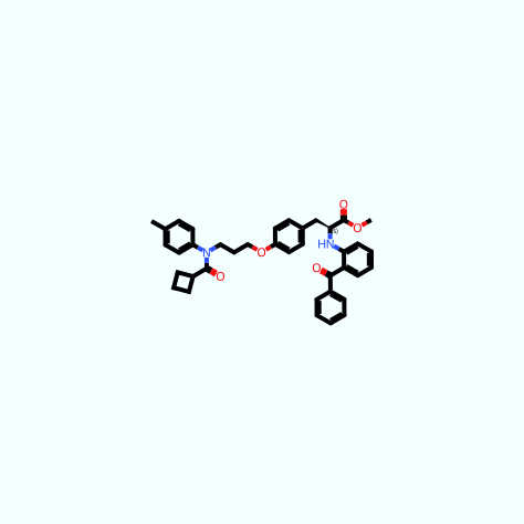 COC(=O)[C@H](Cc1ccc(OCCCN(C(=O)C2CCC2)c2ccc(C)cc2)cc1)Nc1ccccc1C(=O)c1ccccc1